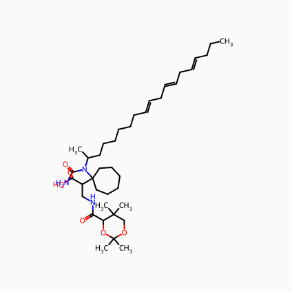 CCC/C=C/C/C=C/C/C=C/CCCCCCC(C)N(C(N)=O)C1(C(CNC(=O)C2OC(C)(C)OCC2(C)C)C(=O)O)CCCCCC1